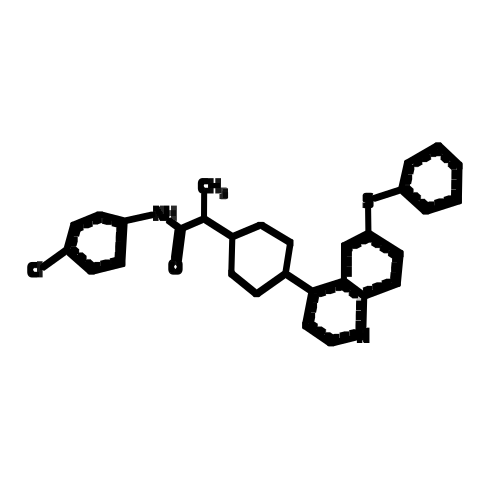 CC(C(=O)Nc1ccc(Cl)cc1)C1CCC(c2ccnc3ccc(Sc4ccccc4)cc23)CC1